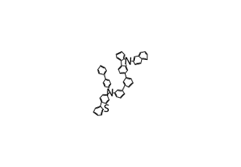 c1ccc(-c2ccc(N(c3cccc(-c4cccc(-c5ccc6c7ccccc7n(-c7ccc8ccccc8c7)c6c5)c4)c3)c3ccc4c(c3)sc3ccccc34)cc2)cc1